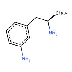 Nc1cccc(C[C@H](N)[C]=O)c1